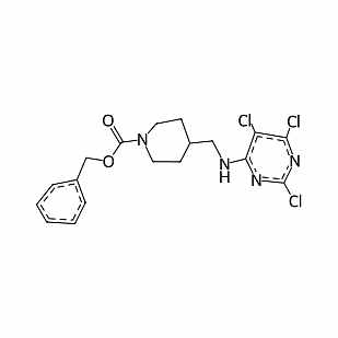 O=C(OCc1ccccc1)N1CCC(CNc2nc(Cl)nc(Cl)c2Cl)CC1